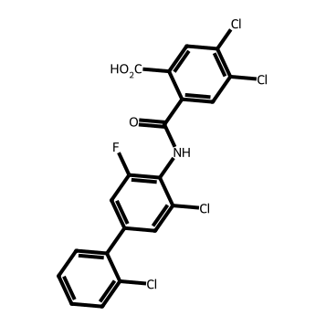 O=C(O)c1cc(Cl)c(Cl)cc1C(=O)Nc1c(F)cc(-c2ccccc2Cl)cc1Cl